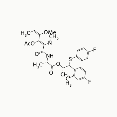 C=N/C(C(=O)N[C@@H](C)C(=O)O[C@@H](C)[C@H](Sc1ccc(F)cc1)c1ccc(F)cc1C)=C(OC(C)=O)\C(=C/C)OC